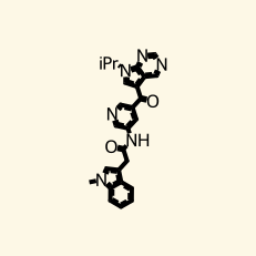 CC(C)n1cc(C(=O)c2cncc(NC(=O)Cc3cn(C)c4ccccc34)c2)c2cncnc21